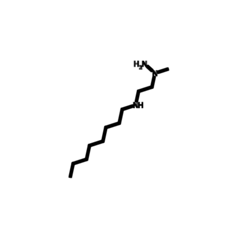 CCCCCCCCNCCN(C)N